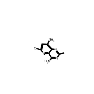 Cc1nc(N)c2nc(Cl)cc(N)c2n1